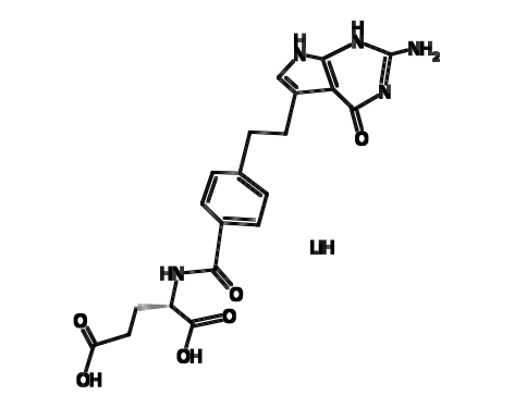 Nc1nc(=O)c2c(CCc3ccc(C(=O)N[C@@H](CCC(=O)O)C(=O)O)cc3)c[nH]c2[nH]1.[LiH]